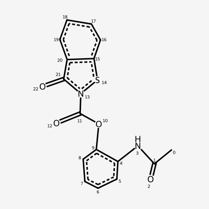 CC(=O)Nc1ccccc1OC(=O)n1sc2ccccc2c1=O